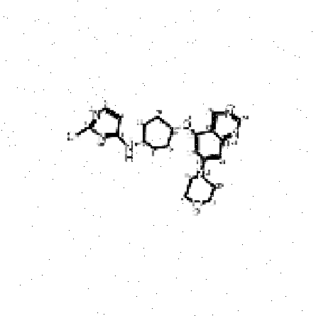 Clc1nccc(N[C@H]2CC[C@@H](Oc3cc(N4CCOCC4)cc4ncncc34)CC2)n1